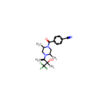 C=C(N1CC(C)N(C(=O)c2ccc(C#N)cc2)CC1C)C(C)(O)C(F)(F)F